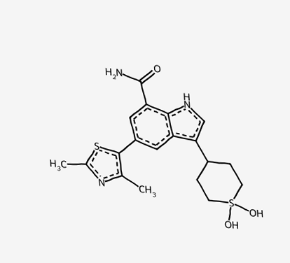 Cc1nc(C)c(-c2cc(C(N)=O)c3[nH]cc(C4CCS(O)(O)CC4)c3c2)s1